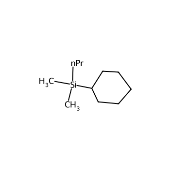 CCC[Si](C)(C)C1CCCCC1